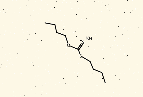 CCCCOC(=S)SCCCC.[KH]